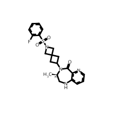 C[C@@H]1CNc2cccnc2C(=O)N1C1CC2(C1)CN(S(=O)(=O)c1ccccc1F)C2